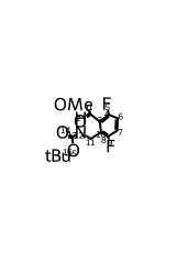 COC(=O)c1c(F)ccc(F)c1CNC(=O)OC(C)(C)C